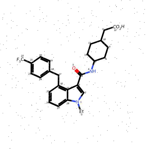 CCn1cc(C(=O)NC2CCC(CC(=O)O)CC2)c2c(Cc3ccc(C(F)(F)F)cc3)cccc21